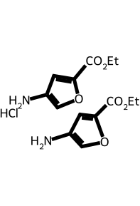 CCOC(=O)c1cc(N)co1.CCOC(=O)c1cc(N)co1.Cl